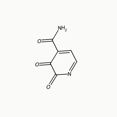 NC(=O)C1=CC=NC(=O)C1=O